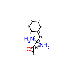 NC(N)(CC1CCCCC1)C1CO1